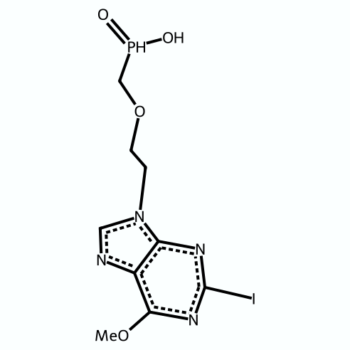 COc1nc(I)nc2c1ncn2CCOC[PH](=O)O